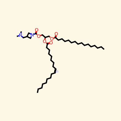 CCCCCCCC/C=C\CCCCCCCC(=O)OC(COC(=O)CCCCCCCCCCCCCCC)COC(=O)N1CC(CN(C)C)C1